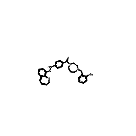 CCCCc1ccccc1CN1CCCN(C(=O)c2ccc(NSc3cccc4c3=NCC=CC=4)cc2)CC1